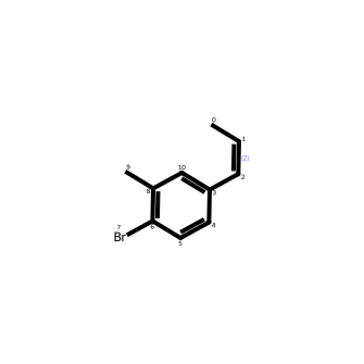 C/C=C\c1ccc(Br)c(C)c1